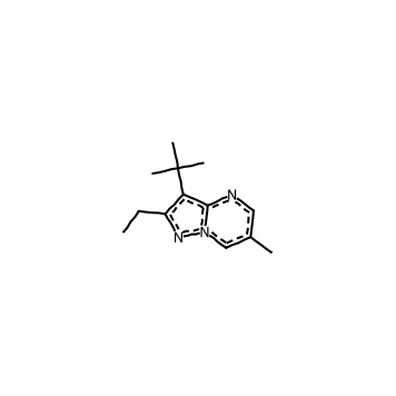 CCc1nn2cc(C)cnc2c1C(C)(C)C